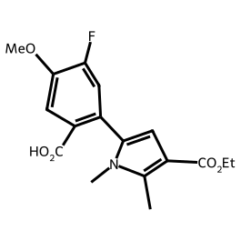 CCOC(=O)c1cc(-c2cc(F)c(OC)cc2C(=O)O)n(C)c1C